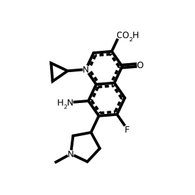 CN1CCC(c2c(F)cc3c(=O)c(C(=O)O)cn(C4CC4)c3c2N)C1